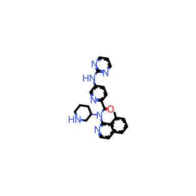 Cc1cccc2ccnc(N(C(=O)c3ccc(Nc4ncccn4)cn3)[C@@H]3CCCNC3)c12